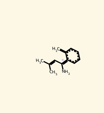 C=c1cccc/c1=C(\N)C=C(C)C